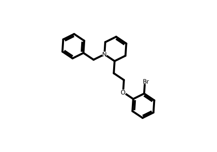 Brc1ccccc1OCCC1CC=CCN1Cc1ccccc1